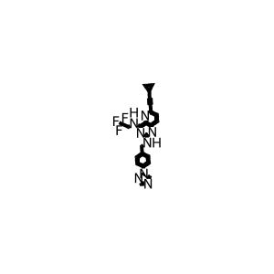 FC(F)(F)CNc1nc(NCc2ccc(-n3cncn3)cc2)nc2ccc(C#CC3CC3)nc12